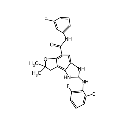 CC1(C)Cc2c3c(cc(C(=O)Nc4cccc(F)c4)c2O1)NC(Nc1c(F)cccc1Cl)N3